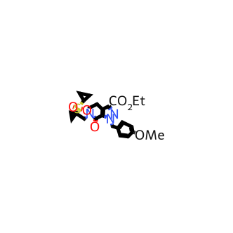 CCOC(=O)c1nn(Cc2ccc(OC)cc2)c2c1CCN(CC1(S(=O)(=O)C3CC3)CC1)C2=O